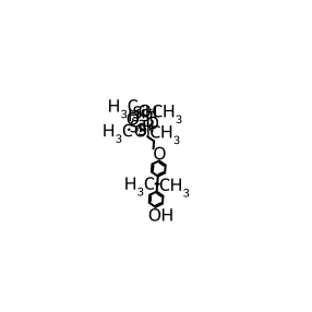 C[SiH]1O[SiH](C)O[Si](C)(CCCOc2ccc(C(C)(C)c3ccc(O)cc3)cc2)O[SiH](C)O1